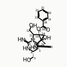 C=C1NC2[C@H](CO)NC(=N)N3C(CO)[C@@]4(OC(=O)c5ccccc5)C[C@]4(C)C23N1O